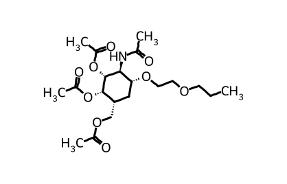 CCCOCCO[C@@H]1C[C@H](COC(C)=O)[C@H](OC(C)=O)[C@H](OC(C)=O)[C@H]1NC(C)=O